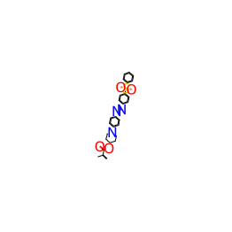 C=C(C)C(=O)OC1CCN(c2ccc(N=Nc3ccc(S(=O)(=O)c4ccccc4)cc3)cc2)CC1